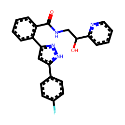 O=C(NCC(O)c1ccccn1)c1ccccc1-c1cc(-c2ccc(F)cc2)[nH]n1